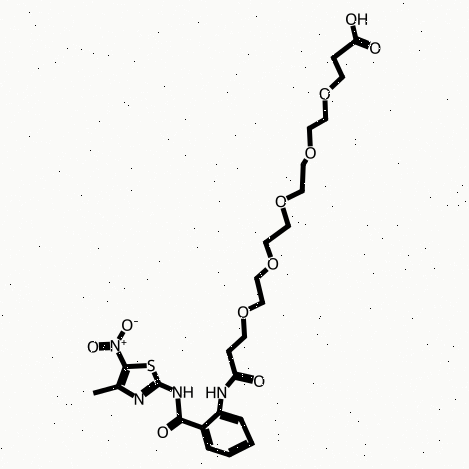 Cc1nc(NC(=O)c2ccccc2NC(=O)CCOCCOCCOCCOCCOCCC(=O)O)sc1[N+](=O)[O-]